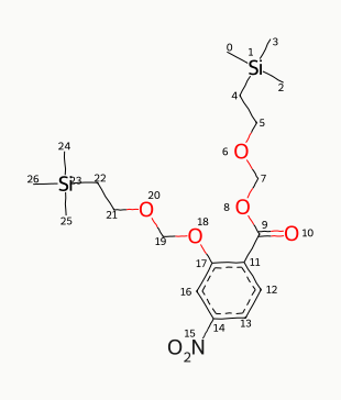 C[Si](C)(C)CCOCOC(=O)c1ccc([N+](=O)[O-])cc1OCOCC[Si](C)(C)C